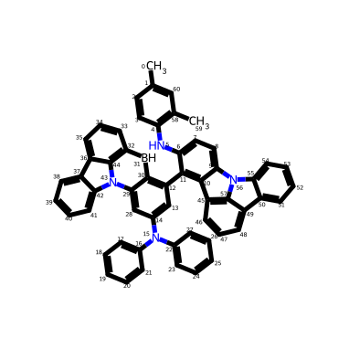 Cc1ccc(Nc2ccc3c(c2-c2cc(N(c4ccccc4)c4ccccc4)cc4c2Bc2cccc5c6ccccc6n-4c25)c2cccc4c5ccccc5n3c42)c(C)c1